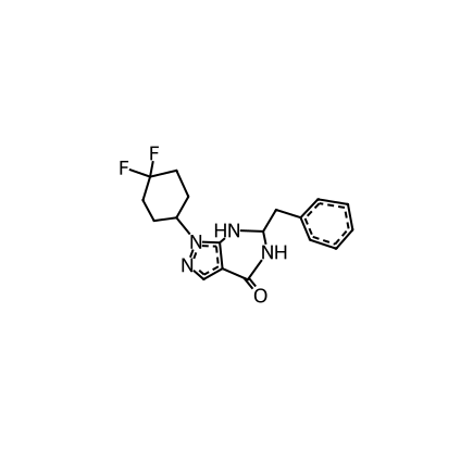 O=C1NC(Cc2ccccc2)Nc2c1cnn2C1CCC(F)(F)CC1